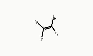 FC(S)=C(F)Cl